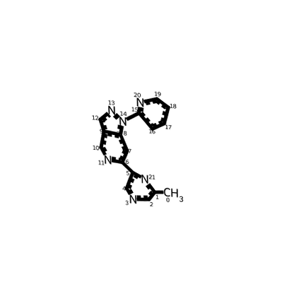 Cc1cncc(-c2cc3c(cn2)cnn3-c2ccccn2)n1